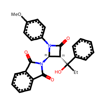 CCC(O)(c1ccccc1)[C@H]1C(=O)N(c2ccc(OC)cc2)[C@@H]1N1C(=O)c2ccccc2C1=O